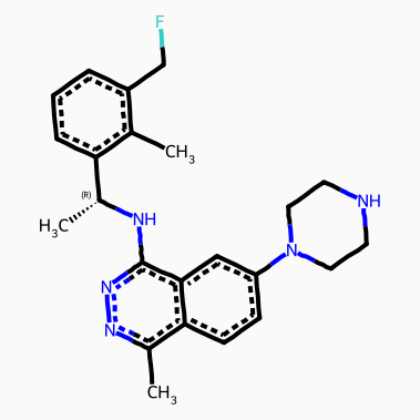 Cc1c(CF)cccc1[C@@H](C)Nc1nnc(C)c2ccc(N3CCNCC3)cc12